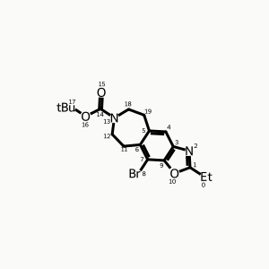 CCc1nc2cc3c(c(Br)c2o1)CCN(C(=O)OC(C)(C)C)CC3